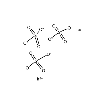 O=S(=O)([O-])[O-].O=S(=O)([O-])[O-].O=S(=O)([O-])[O-].[Ir+3].[Ir+3]